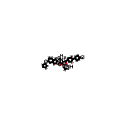 O=C(C(NS(=O)(=O)c1ccc2cc(OC3CCCC3)ccc2c1)C(F)(F)c1ccc(-c2ccc(Cl)cc2)cc1)N1CCCNC1